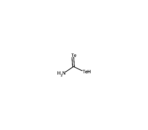 NC(=[Te])[TeH]